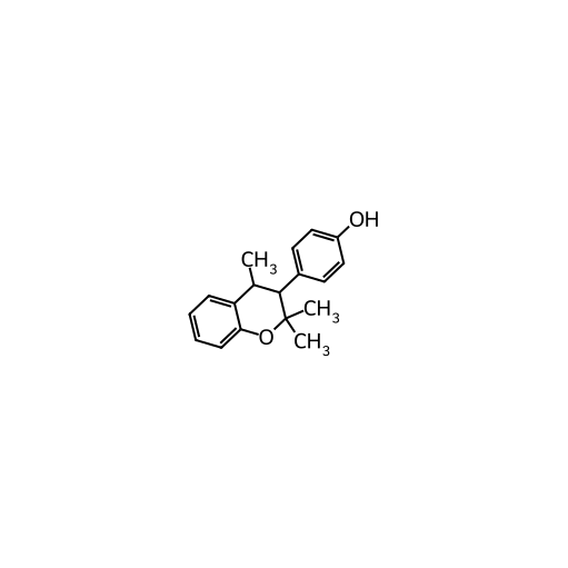 CC1c2ccccc2OC(C)(C)C1c1ccc(O)cc1